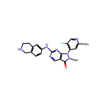 CC(C)n1c(=O)c2cnc(Nc3ccc4c(c3)CCNC4)nc2n1-c1cc(C(C)(C)C)ncc1F